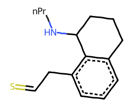 CCCNC1CCCc2cccc(CC=S)c21